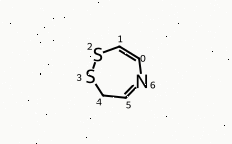 C1=CSSCC=N1